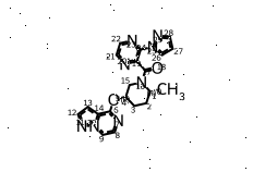 C[C@@H]1CC[C@@H](Oc2nccn3nccc23)CN1C(=O)c1nccnc1-n1cccn1